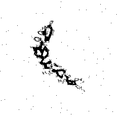 CC1C2=CC(C)(C(=O)N3CCC(C)(n4cc(Cc5ccc6c7c(cccc57)C(=O)N6C5CCC(=O)NC5=O)cn4)CC3)C2C1C